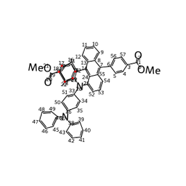 COC(=O)c1ccc(-c2c3ccccc3c(-c3ccc(C(=O)OC)cc3)c3c(N(c4ccccc4)c4ccc(N(c5ccccc5)c5ccccc5)cc4)cccc23)cc1